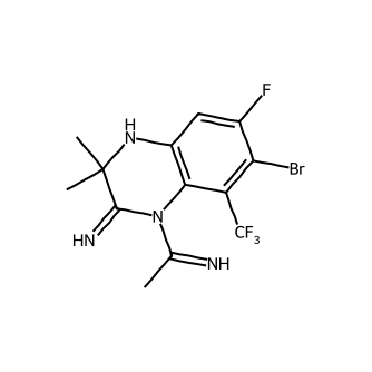 CC(=N)N1C(=N)C(C)(C)Nc2cc(F)c(Br)c(C(F)(F)F)c21